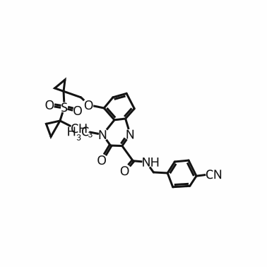 Cn1c(=O)c(C(=O)NCc2ccc(C#N)cc2)nc2cccc(OCC3(S(=O)(=O)C4(C)CC4)CC3)c21